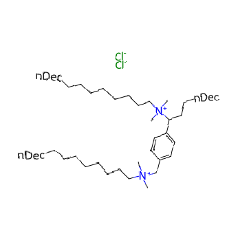 CCCCCCCCCCCCCCCCCC[N+](C)(C)Cc1ccc(C(CCCCCCCCCCCC)[N+](C)(C)CCCCCCCCCCCCCCCCCC)cc1.[Cl-].[Cl-]